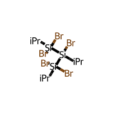 CC(C)[Si](Br)(Br)[Si](Br)(C(C)C)[Si](Br)(Br)C(C)C